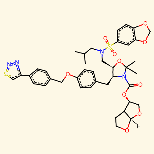 CC(C)CN(C[C@H]1OC(C)(C)N(C(=O)O[C@H]2CO[C@H]3OCCC32)[C@H]1Cc1ccc(OCc2ccc(-c3csnn3)cc2)cc1)S(=O)(=O)c1ccc2c(c1)OCO2